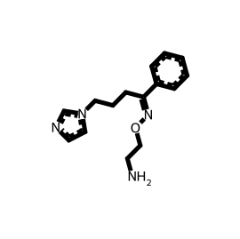 NCCON=C(CCCn1ccnc1)c1ccccc1